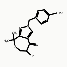 COc1ccc(Cn2cc3c(n2)C(C)(C)OCC(Br)C3=O)cc1